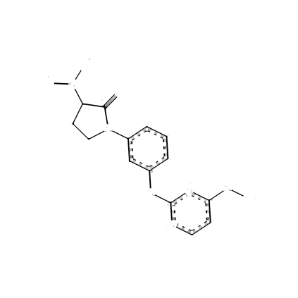 CNc1ccnc(Nc2cccc(N3CCC(N(C)C)C3=O)c2)n1